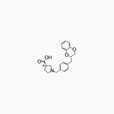 O=C(O)[C@@H]1CCN(Cc2ccc(CC3COc4ccccc4O3)cc2)C1